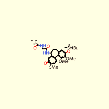 COc1c(O[Si](C)(C)C(C)(C)C)cc2c(c1OC)-c1ccc(SC)c(=O)cc1C(NC(=O)CNC(=O)C(F)(F)F)CC2